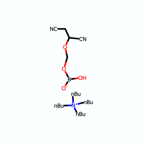 CCCC[N+](CCCC)(CCCC)CCCC.N#CCC(C#N)OCOB([O-])O